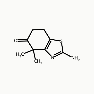 CC1(C)C(=O)CCc2sc(N)nc21